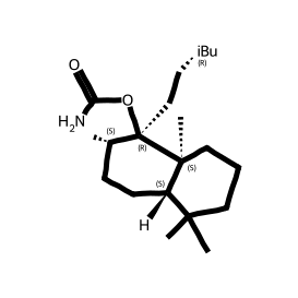 CC[C@@H](C)CC[C@@]1(OC(N)=O)[C@@H](C)CC[C@H]2C(C)(C)CCC[C@@]21C